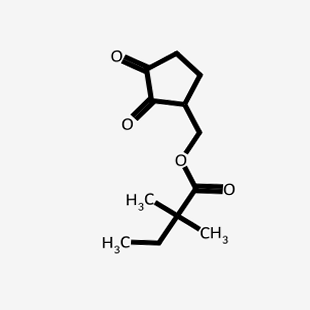 CCC(C)(C)C(=O)OCC1CCC(=O)C1=O